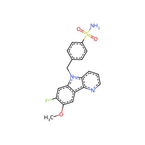 COc1cc2c3ncccc3n(Cc3ccc(S(N)(=O)=O)cc3)c2cc1F